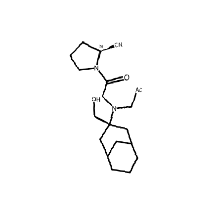 CC(=O)CN(CC(=O)N1CCC[C@H]1C#N)C1(CO)CC2CCCC(C2)C1